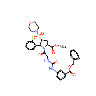 CC(C)(C)OC(=O)C1CC(S(=O)(=O)N2CCOCC2)C(c2ccccc2F)N1C(=O)CNC(=O)Nc1cccc(C(=O)OCc2ccccc2)c1